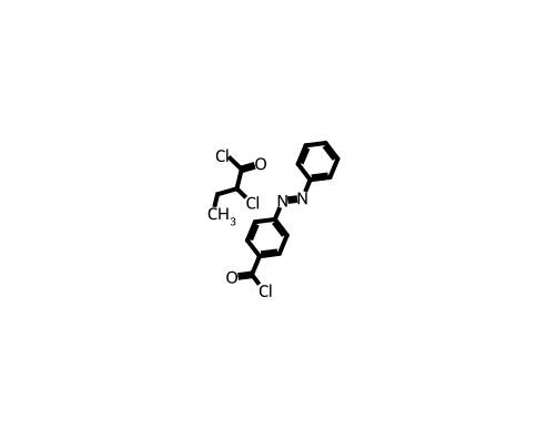 CCC(Cl)C(=O)Cl.O=C(Cl)c1ccc(N=Nc2ccccc2)cc1